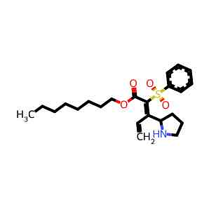 C=CC(=C(C(=O)OCCCCCCCC)S(=O)(=O)c1ccccc1)C1CCCN1